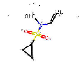 C=CN(C=O)S(=O)(=O)C1CC1